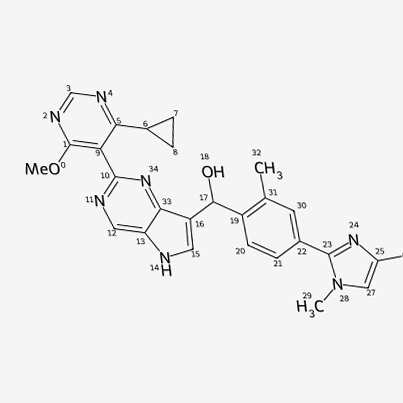 COc1ncnc(C2CC2)c1-c1ncc2[nH]cc(C(O)c3ccc(-c4nc(C(F)(F)F)cn4C)cc3C)c2n1